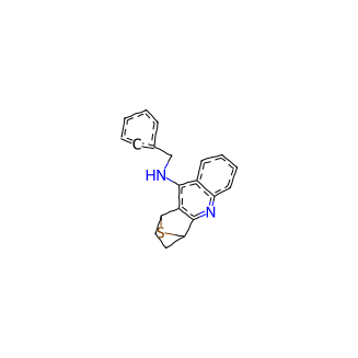 c1ccc(CNc2c3c(nc4ccccc24)C2CCC3S2)cc1